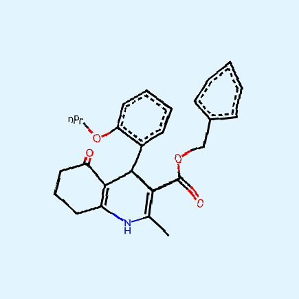 CCCOc1ccccc1C1C(C(=O)OCc2ccccc2)=C(C)NC2=C1C(=O)CCC2